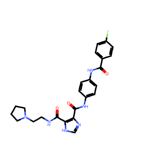 O=C(Nc1ccc(NC(=O)c2nc[nH]c2C(=O)NCCN2CCCC2)cc1)c1ccc(F)cc1